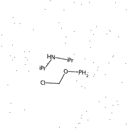 CC(C)NC(C)C.POCCl